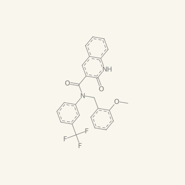 COc1ccccc1CN(C(=O)c1cc2ccccc2[nH]c1=O)c1cccc(C(F)(F)F)c1